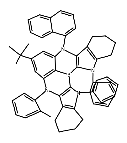 Cc1ccccc1N1c2cc(C(C)(C)C)cc3c2B(c2c1c1c(n2-c2ccccc2)CCCC1)c1c(c2c(n1-c1ccccc1)CCCC2)N3c1cccc2ccccc12